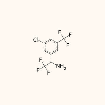 NC(c1cc(Cl)cc(C(F)(F)F)c1)C(F)(F)F